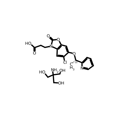 C[C@H](Oc1cc2oc(=O)n(CCC(=O)O)c2cc1Cl)c1ccccn1.NC(CO)(CO)CO